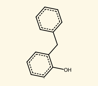 Oc1[c]cccc1Cc1ccccc1